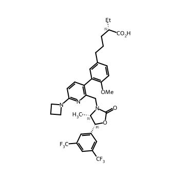 CC[C@@H](CCCc1ccc(OC)c(-c2ccc(N3CCC3)nc2CN2C(=O)O[C@H](c3cc(C(F)(F)F)cc(C(F)(F)F)c3)[C@@H]2C)c1)C(=O)O